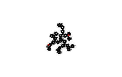 c1ccc(-n2c3ccccc3c3cc(N(c4ccc(-c5ccc6oc7ccccc7c6c5)cc4)c4cccc(-c5nc(-c6cccc(N(c7ccc(-c8ccc9oc%10ccccc%10c9c8)cc7)c7ccc8c(c7)c7ccccc7n8-c7ccccc7)c6)nc(-c6cccc(N(c7ccc(-c8ccc9oc%10ccccc%10c9c8)cc7)c7ccc8c(c7)c7ccccc7n8-c7ccccc7)c6)n5)c4)ccc32)cc1